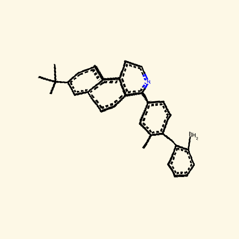 Bc1ccccc1-c1ccc(-c2nccc3c2ccc2cc(C(C)(C)C)ccc23)cc1C